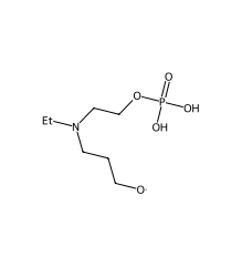 CCN(CCC[O])CCOP(=O)(O)O